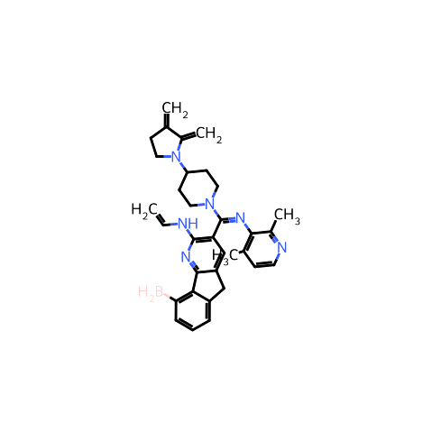 Bc1cccc2c1-c1nc(NC=C)c(/C(=N\c3c(C)ccnc3C)N3CCC(N4CCC(=C)C4=C)CC3)cc1C2